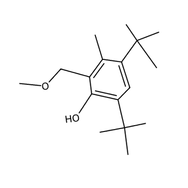 COCc1c(C)c(C(C)(C)C)cc(C(C)(C)C)c1O